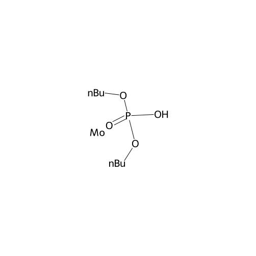 CCCCOP(=O)(O)OCCCC.[Mo]